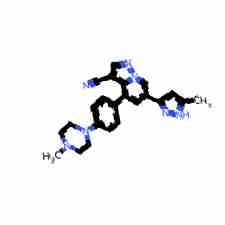 Cc1cc(-c2cc(-c3ccc(N4CCN(C)CC4)cc3)c3c(C#N)cnn3c2)n[nH]1